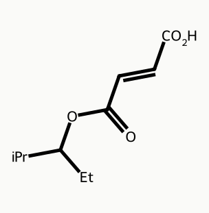 CCC(OC(=O)/C=C/C(=O)O)C(C)C